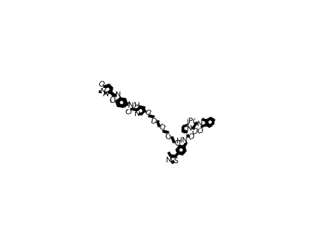 Cc1ncsc1-c1ccc(CNC(=O)[C@@H]2CCCN2C(=O)C(C(C)C)N2Cc3ccccc3C2=O)c(OCCOCCOCCOCCOc2ccc(C(=O)Nc3ccc4oc(-c5ccc(=O)n(C)n5)nc4c3)nc2)c1